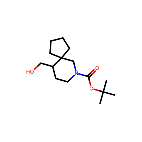 CC(C)(C)OC(=O)N1CCC(CO)C2(CCCC2)C1